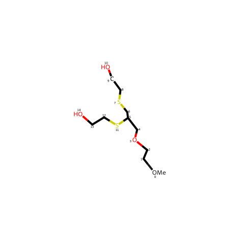 COCCOCC(CSCCO)SCCO